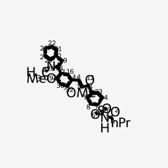 CCCC(=O)NS(=O)(=O)c1ccc(C(=O)C=Cc2cc(-c3cc4ccccc4n3C)c(OC)cc2OC)cc1